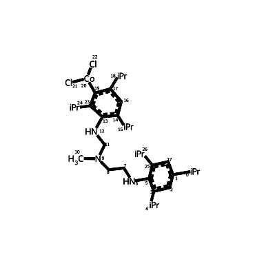 CC(C)c1cc(C(C)C)c(NCCN(C)CNc2c(C(C)C)cc(C(C)C)[c]([Co]([Cl])[Cl])c2C(C)C)c(C(C)C)c1